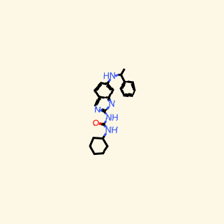 CC(Nc1ccc2cnc(NC(=O)NC3CCCCC3)nc2c1)c1ccccc1